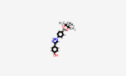 CC1(C)OB(c2ccc(-n3cc(-c4ccc(O)cc4)nn3)cc2)OC1(C)C